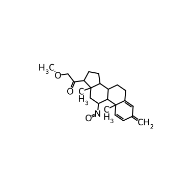 C=C1C=CC2(C)C(=C1)CCC1C2C(N=O)CC2(C)C(C(=O)COC)CCC12